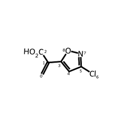 C=C(C(=O)O)c1cc(Cl)no1